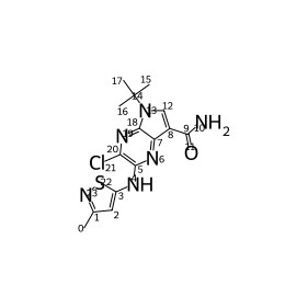 Cc1cc(Nc2nc3c(C(N)=O)cn(C(C)(C)C)c3nc2Cl)sn1